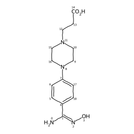 N/C(=N/O)c1ccc(N2CCN(CCC(=O)O)CC2)cc1